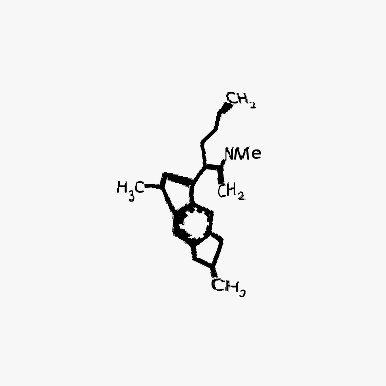 C=CCCC(C(=C)NC)C1=CC(C)c2cc3c(cc21)CC(C)C3